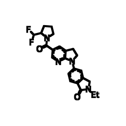 CCN1Cc2cc(N3CCc4cc(C(=O)N5CCCC5C(F)F)cnc43)ccc2C1=O